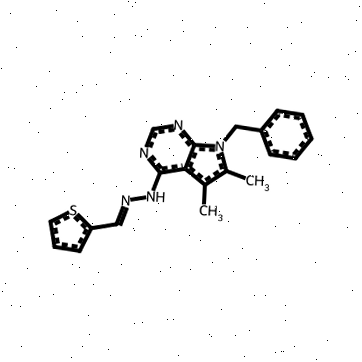 Cc1c(C)n(Cc2ccccc2)c2ncnc(NN=Cc3cccs3)c12